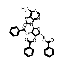 Nc1ncnc2c1sc(=O)n2[C@@H]1O[C@H](COC(=O)c2ccccc2)[C@@H](OC(=O)c2ccccc2)[C@H]1OC(=O)c1ccccc1